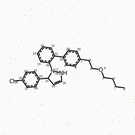 CCCCOCCc1ccc(-c2ccccc2N2NC=CC2c2ccc(Cl)cc2)cc1